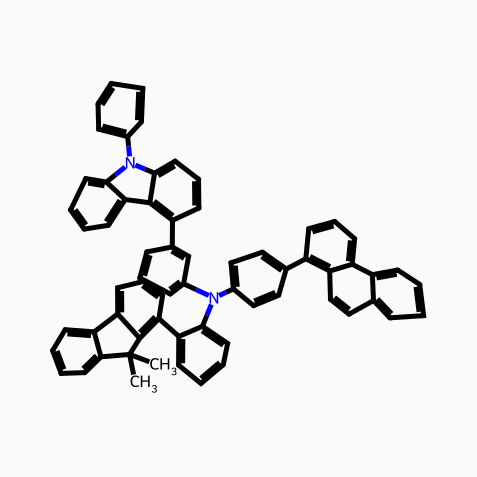 CC1(C)c2ccccc2-c2cccc(-c3ccccc3N(c3ccc(-c4cccc5c4ccc4ccccc45)cc3)c3cccc(-c4cccc5c4c4ccccc4n5-c4ccccc4)c3)c21